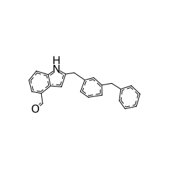 O=Cc1cccc2[nH]c(Cc3cccc(Cc4ccccc4)c3)cc12